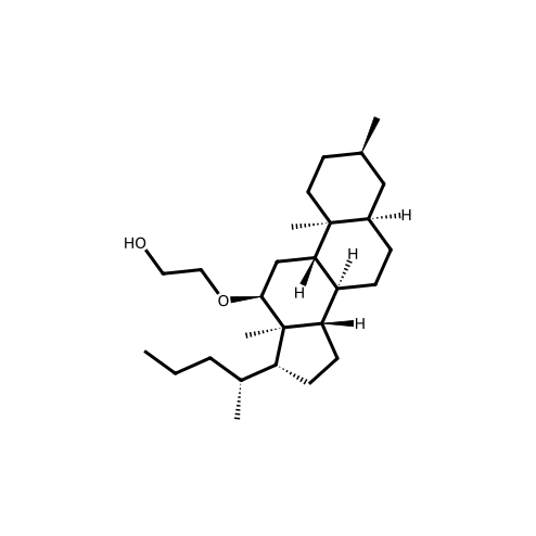 CCC[C@@H](C)[C@H]1CC[C@H]2[C@@H]3CC[C@@H]4C[C@H](C)CC[C@]4(C)[C@H]3C[C@H](OCCO)[C@]12C